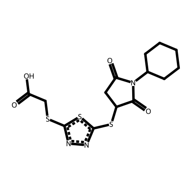 O=C(O)CSc1nnc(SC2CC(=O)N(C3CCCCC3)C2=O)s1